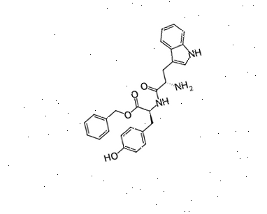 N[C@@H](Cc1c[nH]c2ccccc12)C(=O)N[C@@H](Cc1ccc(O)cc1)C(=O)OCc1ccccc1